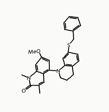 COc1cc(N2CCCc3ccc(SCc4ccccc4)cc32)c2cc(C)c(=O)n(C)c2c1